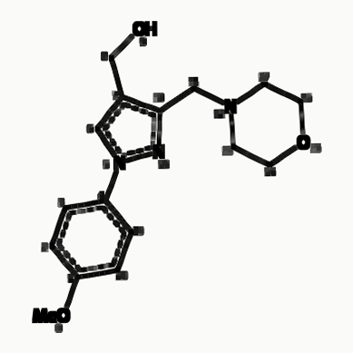 COc1ccc(-n2cc(CO)c(CN3CCOCC3)n2)cc1